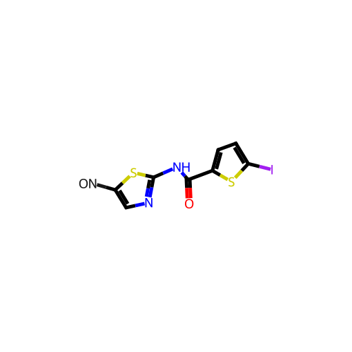 O=Nc1cnc(NC(=O)c2ccc(I)s2)s1